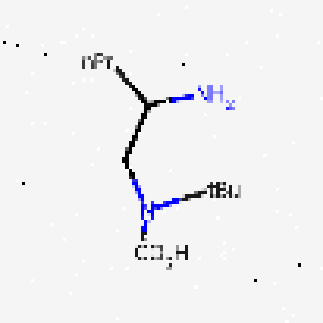 CCCC(N)CN(C(=O)O)C(C)(C)C